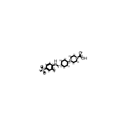 CS(=O)(=O)c1ccc(NC[C@H]2CC[C@H](N3CCN(C(=O)O)CC3)CC2)c(F)c1